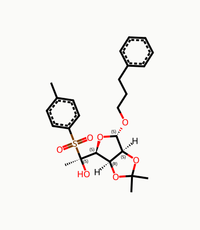 Cc1ccc(S(=O)(=O)[C@](C)(O)[C@H]2O[C@H](OCCCc3ccccc3)[C@H]3OC(C)(C)O[C@H]32)cc1